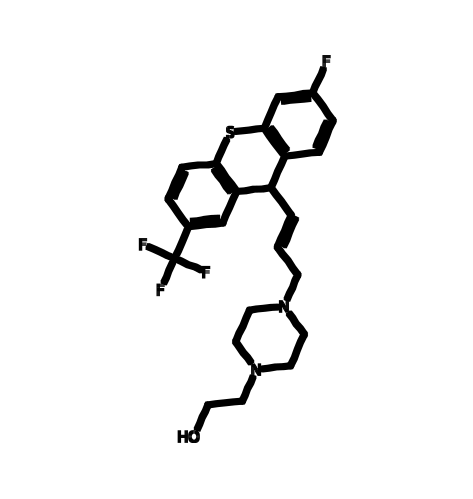 OCCN1CCN(C/C=C/C2c3ccc(F)cc3Sc3ccc(C(F)(F)F)cc32)CC1